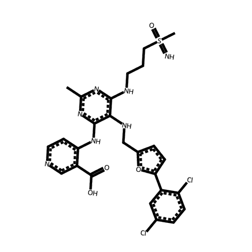 Cc1nc(NCCCS(C)(=N)=O)c(NCc2ccc(-c3cc(Cl)ccc3Cl)o2)c(Nc2ccncc2C(=O)O)n1